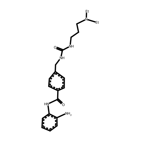 CCN(CC)CCCNC(=O)NCc1ccc(C(=O)Nc2ccccc2N)cc1